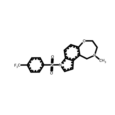 CN1CCOc2ccc3c(ccn3S(=O)(=O)c3ccc(C(F)(F)F)cc3)c2C1